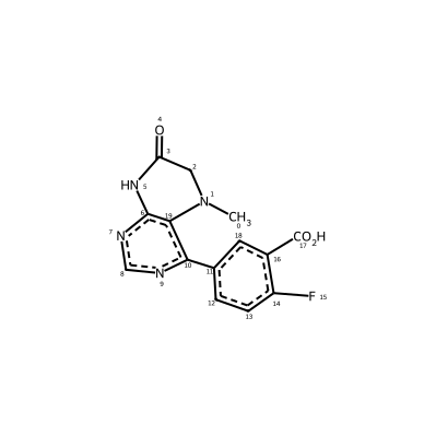 CN1CC(=O)Nc2ncnc(-c3ccc(F)c(C(=O)O)c3)c21